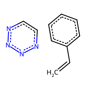 C=Cc1ccccc1.c1cnnnn1